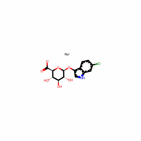 O=C([O-])[C@H]1O[C@@H](Oc2c[nH]c3cc(Cl)ccc23)[C@H](O)[C@@H](O)[C@@H]1O.[Na+]